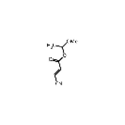 COC(C)OC(=O)C=CC#N